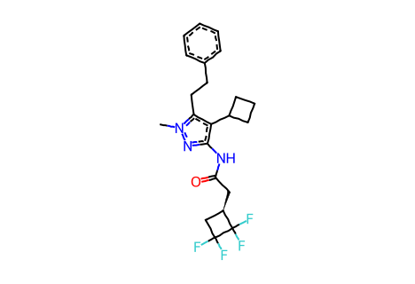 Cn1nc(NC(=O)C[C@@H]2CC(F)(F)C2(F)F)c(C2CCC2)c1CCc1ccccc1